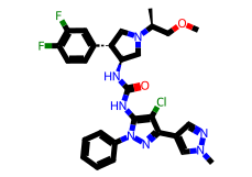 COC[C@H](C)N1C[C@@H](NC(=O)Nc2c(Cl)c(-c3cnn(C)c3)nn2-c2ccccc2)[C@H](c2ccc(F)c(F)c2)C1